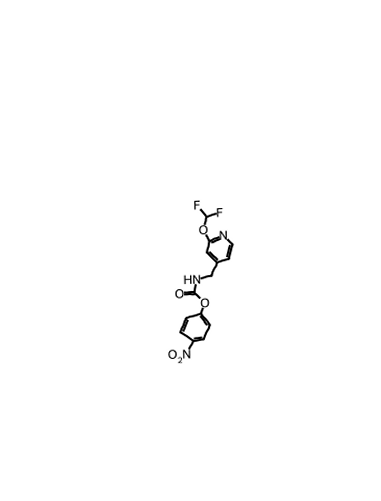 O=C(NCc1ccnc(OC(F)F)c1)Oc1ccc([N+](=O)[O-])cc1